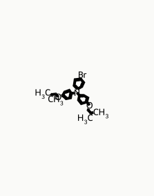 CC(C)COc1ccc(N(c2ccc(Br)cc2)c2ccc(OCC(C)C)cc2)cc1